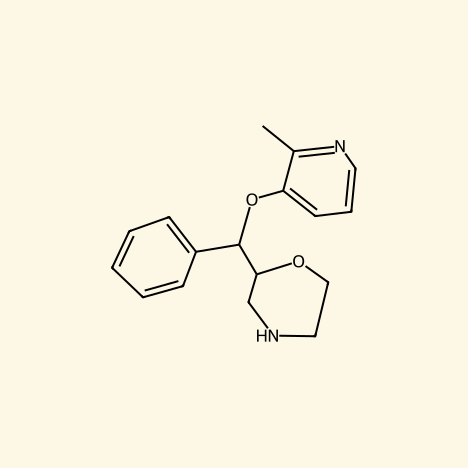 Cc1ncccc1OC(c1ccccc1)C1CNCCO1